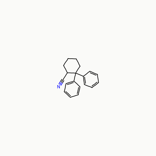 N#CC1CCCCC1(c1ccccc1)c1ccccc1